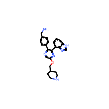 NCc1ccc(-c2ncc(OCC3CCNCC3)nc2-c2cccc3[nH]cnc23)cc1